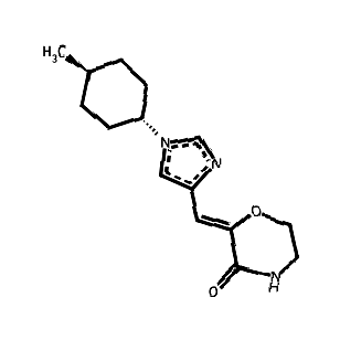 C[C@H]1CC[C@H](n2cnc(/C=C3\OCCNC3=O)c2)CC1